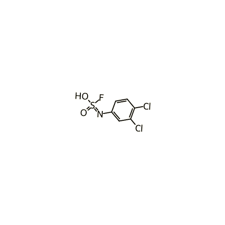 O=S(O)(F)=Nc1ccc(Cl)c(Cl)c1